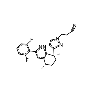 C[C@H]1CC[C@](C)(c2ccn(CCC#N)n2)c2nnc(-c3c(F)cccc3F)cc21